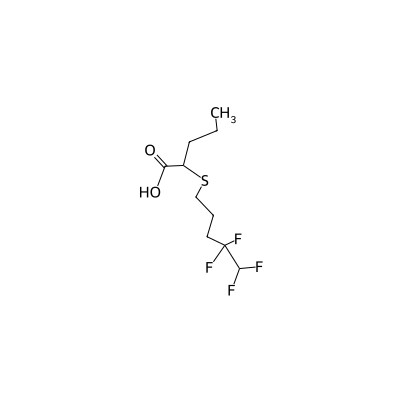 CCCC(SCCCC(F)(F)C(F)F)C(=O)O